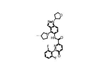 C[C@H]1CCN(c2c(NC(=O)c3ccc(=O)n(-c4c(F)cccc4F)n3)ccc3c2cnn3[C@H]2CCOC2)C1